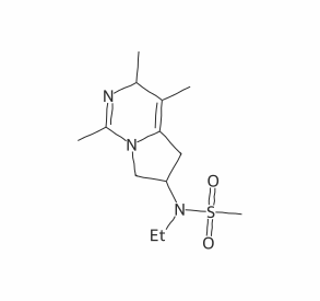 CCN(C1CC2=C(C)C(C)N=C(C)N2C1)S(C)(=O)=O